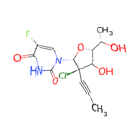 CC#C[C@@]1(Cl)C(O)[C@@H]([C@H](C)O)O[C@H]1n1cc(F)c(=O)[nH]c1=O